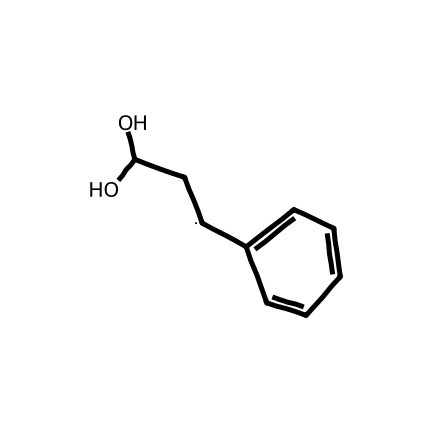 OC(O)C[CH]c1ccccc1